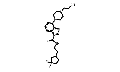 N#CCCN1CCN(c2cccc3c2ncn3C(=O)NCCC2CCC(F)(F)C2)CC1